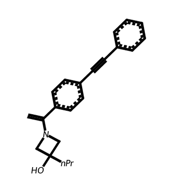 C=C(c1ccc(C#Cc2ccccc2)cc1)N1CC(O)(CCC)C1